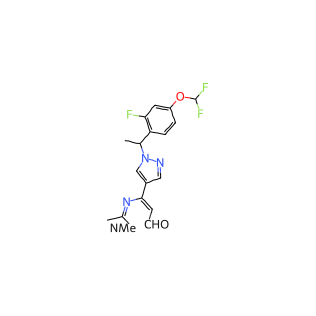 CN/C(C)=N\C(=C/C=O)c1cnn(C(C)c2ccc(OC(F)F)cc2F)c1